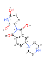 O=C1NC(O)CCC1N1C(=O)c2ccc(N3CCNCC3)cc2C1=O